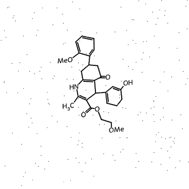 COCCOC(=O)C1=C(C)NC2=C(C(=O)CC(c3ccccc3OC)C2)C1C1=CCCC(O)=C1